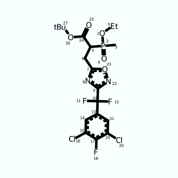 CCOP(C)(=O)C(Cc1nc(C(F)(F)c2cc(Cl)c(F)c(Cl)c2)no1)C(=O)OC(C)(C)C